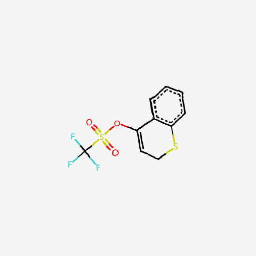 O=S(=O)(OC1=CCSc2ccccc21)C(F)(F)F